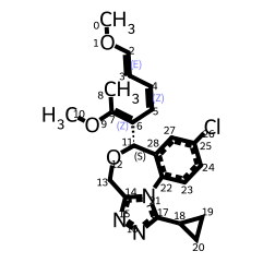 CO/C=C/C=C\C(=C(/C)OC)[C@H]1OCc2nnc(C3CC3)n2-c2ccc(Cl)cc21